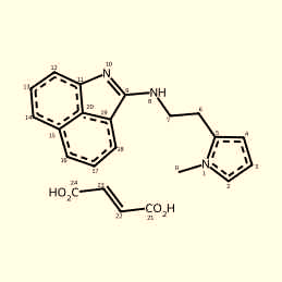 Cn1cccc1CCNC1=Nc2cccc3cccc1c23.O=C(O)/C=C/C(=O)O